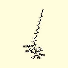 CCCCCCCCCCCCCCCCNC(=O)[C@H](O)[C@@H](O)[C@H](O[C@H]1OC(CO)[C@@H](O)C(O)C1O)[C@H](O)CO